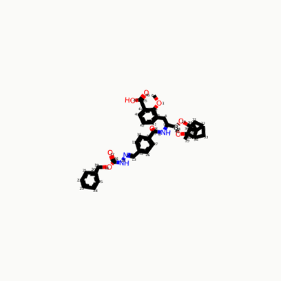 COc1c(CC(NC(=O)c2ccc(C=NNC(=O)OCc3ccccc3)cc2)B2OC3CC4CC(C4(C)C)C3(C)O2)cccc1C(=O)O